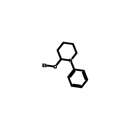 CCOC1CCCCN1c1ccccc1